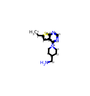 CCc1cc2c(N3CCC(CN)CC3)ncnc2s1